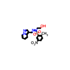 Cc1ccc([N+](=O)[O-])cc1S(=O)(=O)N(CCO)N=Cc1cnn2ccccc12